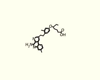 CCC(CCCC(=O)O)Oc1ccc(CCc2cnc3c(N)nc4cc(C)ccc4c3c2)c(C)c1